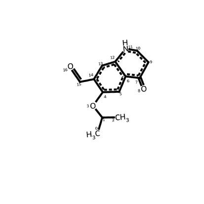 CC(C)Oc1cc2c(=O)cc[nH]c2cc1C=O